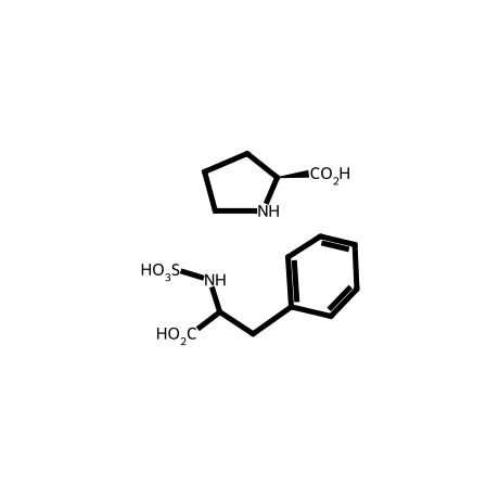 O=C(O)C(Cc1ccccc1)NS(=O)(=O)O.O=C(O)[C@@H]1CCCN1